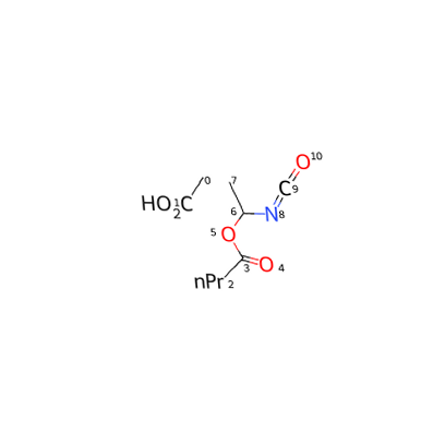 CC(=O)O.CCCC(=O)OC(C)N=C=O